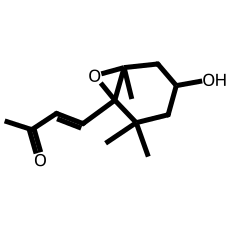 CC(=O)/C=C/C12OC1(C)CC(O)CC2(C)C